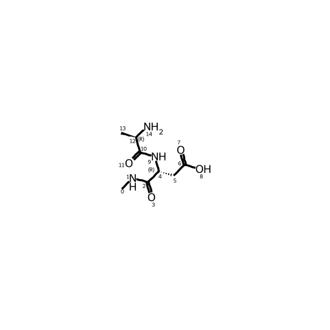 CNC(=O)[C@@H](CC(=O)O)NC(=O)[C@@H](C)N